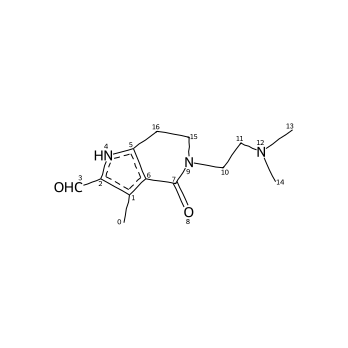 Cc1c(C=O)[nH]c2c1C(=O)N(CCN(C)C)CC2